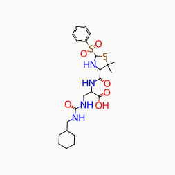 CC1(C)SC(S(=O)(=O)c2ccccc2)NC1C(=O)NC(CNC(=O)NCC1CCCCC1)C(=O)O